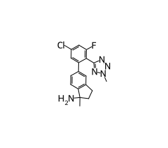 Cn1nnc(-c2c(F)cc(Cl)cc2-c2ccc3c(c2)CCC3(C)N)n1